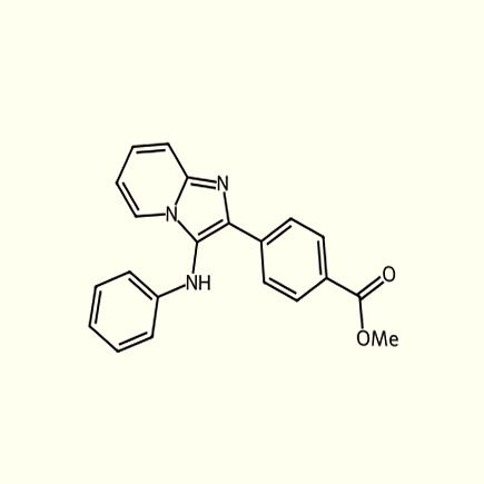 COC(=O)c1ccc(-c2nc3ccccn3c2Nc2ccccc2)cc1